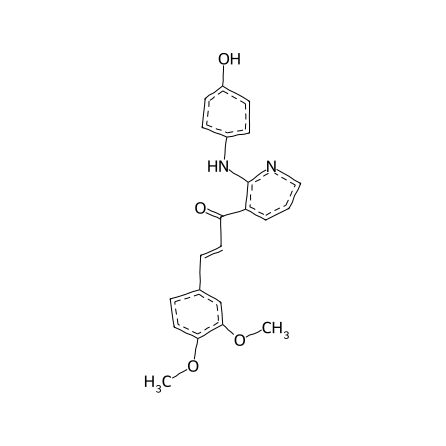 COc1ccc(C=CC(=O)c2cccnc2Nc2ccc(O)cc2)cc1OC